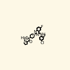 CN(C(=O)C1CCCN1)C1CCN(c2nc(Nc3ccc(Cl)cc3F)c3cc(F)ccc3n2)CC1